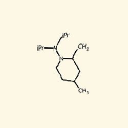 CC1CCN(N(C(C)C)C(C)C)C(C)C1